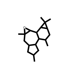 CC1CC2CC3(C)OC3C3C(C(C)CC4C3C4(C)C)C2C1